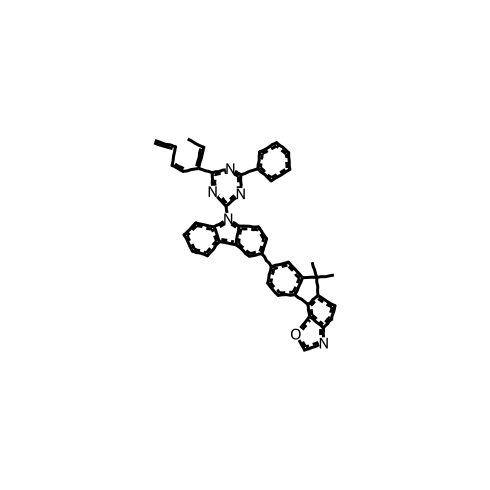 C=C/C=C\C(=C/C)c1nc(-c2ccccc2)nc(-n2c3ccccc3c3cc(-c4ccc5c(c4)C(C)(C)c4ccc6ncoc6c4-5)ccc32)n1